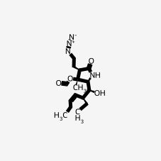 CC/C=C\[C@H](CC)[C@H](O)[C@@H]1NC(=O)[C@H](CCN=[N+]=[N-])[C@]1(C)OC=O